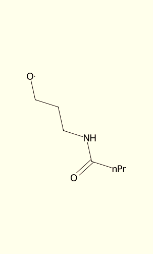 CCCC(=O)NCCC[O]